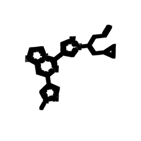 C=CCC(CC1CC1)n1cc(-c2nc(-c3cnn(C)c3)cc3nccn23)cn1